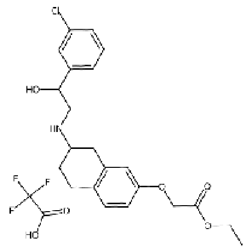 CCOC(=O)COc1ccc2c(c1)CC(NCC(O)c1cccc(Cl)c1)CC2.O=C(O)C(F)(F)F